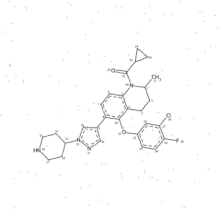 CC1CCc2c(ccc(-c3cnn(C4CCNCC4)c3)c2Oc2ccc(F)c(Cl)c2)N1C(=O)C1CC1